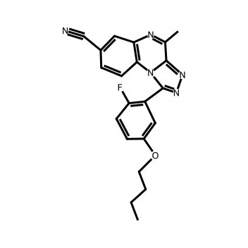 CCCCOc1ccc(F)c(-c2nnc3c(C)nc4cc(C#N)ccc4n23)c1